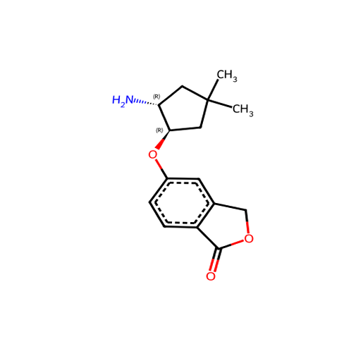 CC1(C)C[C@@H](N)[C@H](Oc2ccc3c(c2)COC3=O)C1